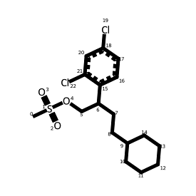 CS(=O)(=O)OCC(CCC1CCCCC1)c1ccc(Cl)cc1Cl